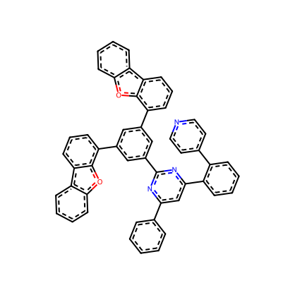 c1ccc(-c2cc(-c3ccccc3-c3ccncc3)nc(-c3cc(-c4cccc5c4oc4ccccc45)cc(-c4cccc5c4oc4ccccc45)c3)n2)cc1